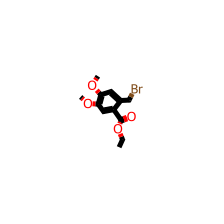 CCOC(=O)c1cc(OC)c(OC)cc1CBr